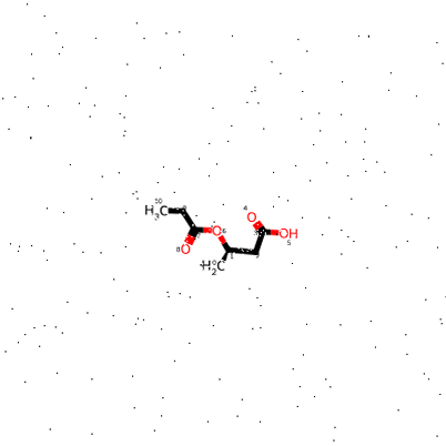 [CH2][C@H](CC(=O)O)OC(=O)CC